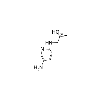 C[C@H](O)CNc1ccc(N)cn1